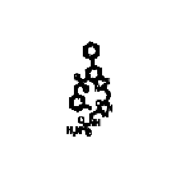 Cc1cccc(CS(=O)(=O)c2cc(-c3ccccc3)cc3sc(Cc4nnc(CNS(N)(=O)=O)o4)nc23)c1